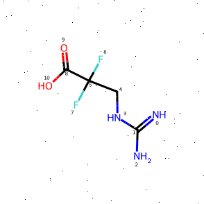 N=C(N)NCC(F)(F)C(=O)O